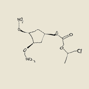 CC(Cl)OC(=O)O[C@@H]1C[C@H](O[N+](=O)[O-])[C@H](O[N+](=O)[O-])C1